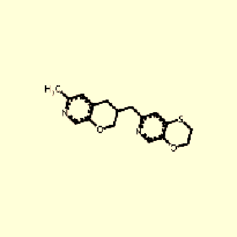 Cc1cc2c(cn1)OCC(Cc1cc3c(cn1)OCCS3)C2